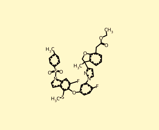 CCOC(=O)Cc1cccc2c1OCC2(C)c1ccn(-c2cc(Oc3c(F)cc4c(ccn4S(=O)(=O)c4ccc(C)cc4)c3SC)ccc2F)n1